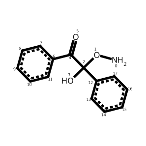 NOC(O)(C(=O)c1ccccc1)c1ccccc1